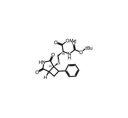 COC(=O)[C@H](CS[C@]12C(=O)NC(=O)[C@H]1CC2c1ccccc1)NC(=O)OC(C)(C)C